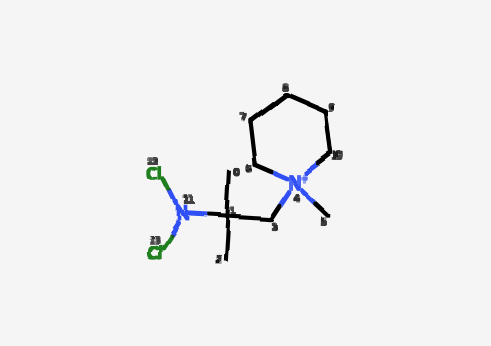 CC(C)(C[N+]1(C)CCCCC1)N(Cl)Cl